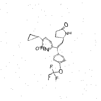 O=C1CC[C@H](/C=C(/c2ccc(OC(F)(F)F)cc2)c2ccc(C3CC3)c(=O)[nH]2)N1